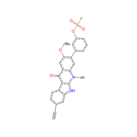 C#Cc1ccc2c(c1)[nH]c1c2c(=O)c2cc(OCCCC)c(-c3cccc(OS(=O)(=O)F)c3)cc2n1C(C)C